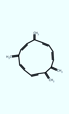 C=c1ccccc(=C)c(=C)ccccc(=C)cc1